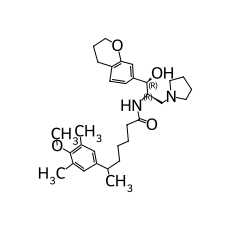 COc1c(C)cc(C(C)CCCCC(=O)N[C@H](CN2CCCC2)[C@H](O)c2ccc3c(c2)OCCC3)cc1C